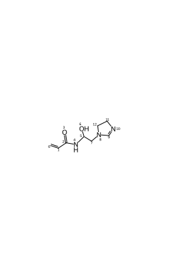 C=CC(=O)NC(O)CN1C=NCC1